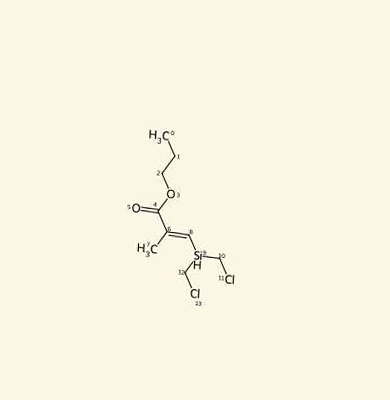 CCCOC(=O)C(C)=C[SiH](CCl)CCl